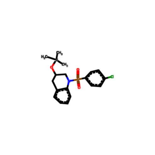 C[Si](C)(C)OC1Cc2ccccc2N(S(=O)(=O)c2ccc(Cl)cc2)C1